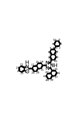 c1ccc(-c2ccc3cc(C4=NC(c5ccc6cc(C7Nc8ccccc8O7)ccc6c5)=NC(c5cccc6ccccc56)N4)ccc3c2)cc1